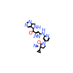 Cn1nc(Nc2cc(N3CC[C@@](C#N)(C4CC4)C3=O)ccn2)cc1C(=O)C1NCc2ncncc21